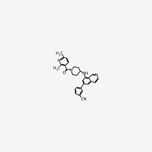 Cc1ccc(C(=O)N2CCC(Nc3cc(-c4cccc(C#N)c4)cc4ccncc34)CC2)c(C)n1